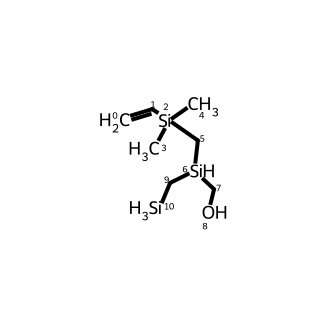 C=C[Si](C)(C)C[SiH](CO)C[SiH3]